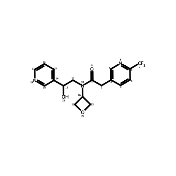 O=C(Cc1ccc(C(F)(F)F)nc1)N(CC(O)c1cccnc1)C1COC1